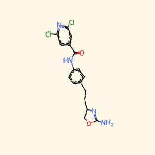 NC1=NC(CCc2ccc(NC(=O)c3cc(Cl)nc(Cl)c3)cc2)CO1